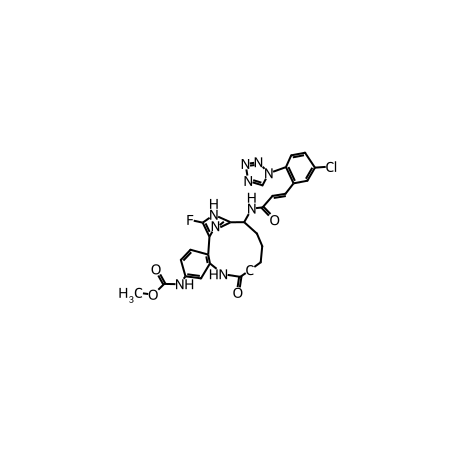 COC(=O)Nc1ccc2c(c1)NC(=O)CCCCC(NC(=O)C=Cc1cc(Cl)ccc1-n1cnnn1)c1nc-2c(F)[nH]1